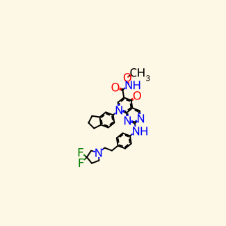 CONC(=O)c1cn(-c2ccc3c(c2)CCC3)c2nc(Nc3ccc(CCN4CCC(F)(F)C4)cc3)ncc2c1=O